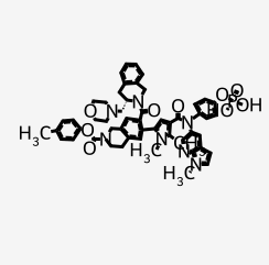 Cc1ccc(OC(=O)N2CCc3cc(-c4cc(C(=O)N(c5ccc(OP(=O)(O)O)cc5)c5cnc6c(ccn6C)c5)c(C)n4C)c(C(=O)N4Cc5ccccc5C[C@H]4CN4CCOCC4)cc3C2)cc1